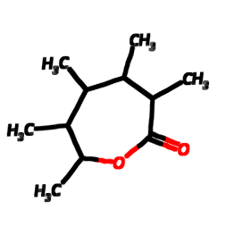 CC1OC(=O)C(C)C(C)C(C)C1C